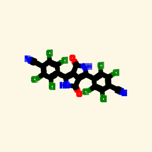 N#Cc1c(Cl)c(Cl)c(C2=C3C(=O)NC(c4c(Cl)c(Cl)c(C#N)c(Cl)c4Cl)=C3C(=O)N2)c(Cl)c1Cl